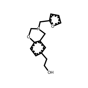 OCCc1ccc2c(c1)CN(Cc1ccco1)CO2